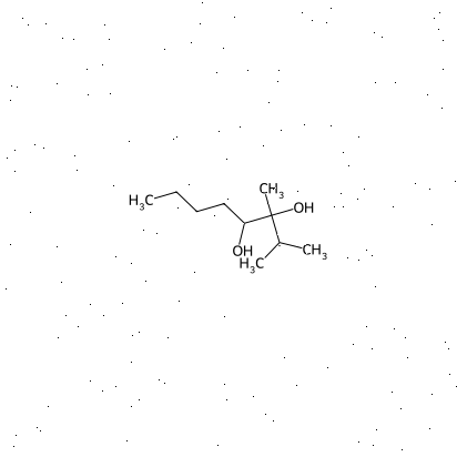 CCCCC(O)C(C)(O)[C](C)C